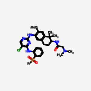 COc1cc2c(cc1Nc1ncc(Cl)c(Nc3ccccc3S(=O)(=O)C(C)C)n1)CCC(NC(=O)CN(C)C)C2(C)C